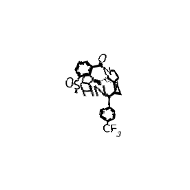 CS(=O)(=O)c1cccc(C(=O)N2CC[C@@H](F)[C@@H]2C(=O)NC(c2ccc(C(F)(F)F)cc2)C2CC2)c1